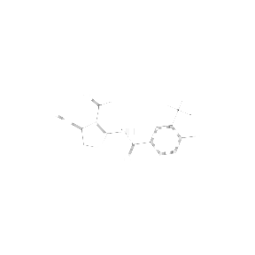 O=C=C1CSC(NC(=O)c2ccc(Br)c(C(F)(F)F)c2)=C1C(=O)O